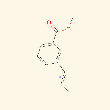 C/C=C/c1cccc(C(=O)OC)c1